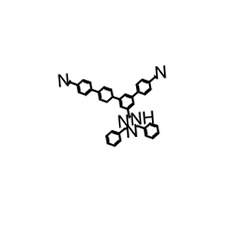 N#Cc1ccc(C2=CCC(c3cc(C4=NC(c5ccccc5)=NC(c5ccccc5)N4)cc(-c4ccc(C#N)cc4)c3)C=C2)cc1